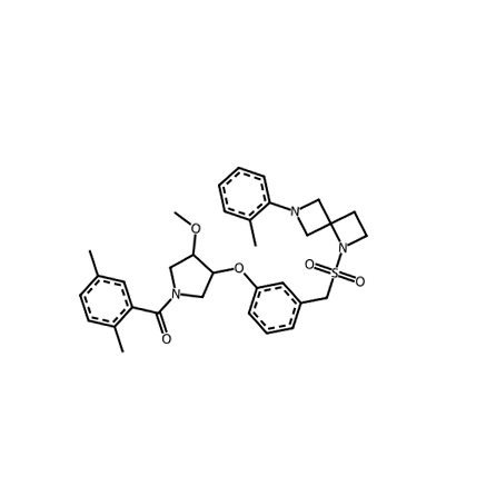 COC1CN(C(=O)c2cc(C)ccc2C)CC1Oc1cccc(CS(=O)(=O)N2CCC23CN(c2ccccc2C)C3)c1